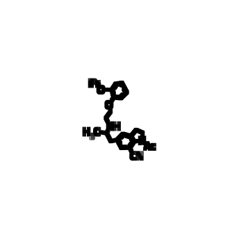 CC(=O)N1CCc2cc(CC(C)NCCOc3ccccc3OC(C)C)cc(C#N)c21